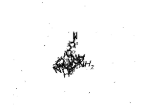 N#Cc1ccc(-c2cncc(Nc3nc(N[C@@H]4CCCC[C@@H]4N)c(F)cc3C(N)=O)c2)cc1